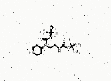 CC(C)(C)OC(=O)NCCN(C(=O)OC(C)(C)C)C1CCNCC1